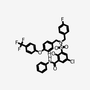 O=C(Nc1ccccc1)c1cc(Cl)cc(S(=O)(=O)N(Cc2ccc(F)cc2)Cc2ccc(Oc3ccc(C(F)(F)F)cc3)cc2)c1O